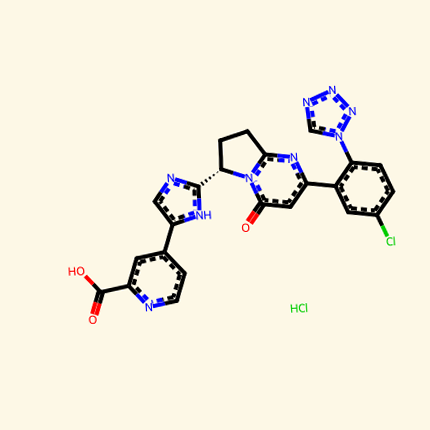 Cl.O=C(O)c1cc(-c2cnc([C@@H]3CCc4nc(-c5cc(Cl)ccc5-n5cnnn5)cc(=O)n43)[nH]2)ccn1